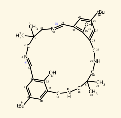 CC1(C)C/N=C/c2cc(C(C)(C)C)cc(c2O)CNCC(C)(C)CNCc2cc(C(C)(C)C)cc(c2O)/C=N/C1